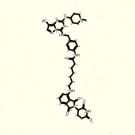 CC(C)c1cnn2c(NCc3ccc(NC(=O)CCCCCCNc4cccc5c4C(=O)N(C4CCC(=O)NC4=O)C5=O)cc3)nc(OC3CCN(C)CC3)nc12